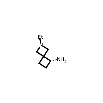 CCN1CC2(CC[C@H]2N)C1